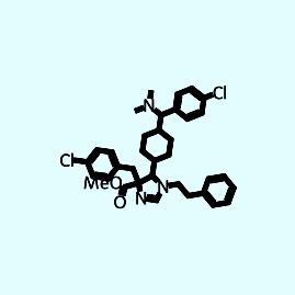 COC(=O)C1(Cc2ccc(Cl)cc2)N=CN(CCc2ccccc2)C1C1CCC(C(c2ccc(Cl)cc2)N(C)C)CC1